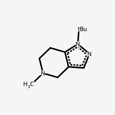 CN1CCc2c(cnn2C(C)(C)C)C1